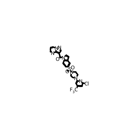 O=C(c1cnn2cccnc12)n1ccc2cc(S(=O)(=O)N3CCN(c4cc(C(F)(F)F)cc(Cl)n4)CC3)ccc21